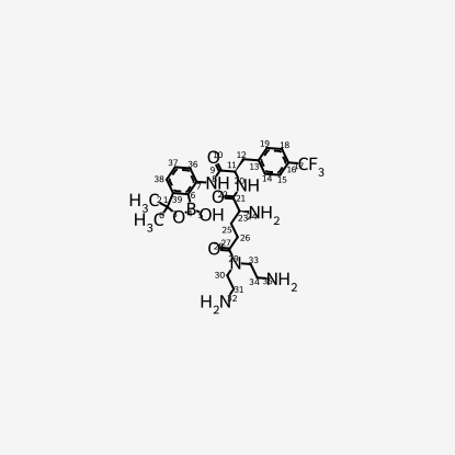 CC1(C)OB(O)c2c(NC(=O)[C@@H](Cc3ccc(C(F)(F)F)cc3)NC(=O)[C@@H](N)CCC(=O)N(CCN)CCN)cccc21